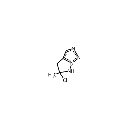 CC1(Cl)Cc2cnnn2N1